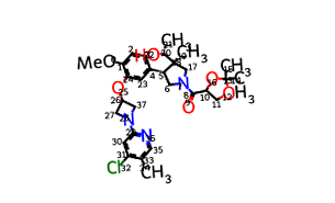 COc1ccc([C@@H]2CN(C(=O)C3COC(C)(C)O3)C[C@@]2(C)[C@@H](C)O)cc1OC1CN(c2cc(Cl)c(C)cn2)C1